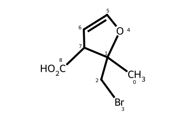 CC1(CBr)OC=CC1C(=O)O